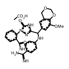 CC(=O)O.COc1cc(C(Nc2ccc(C(=N)N)cc2)c2nn(-c3ccccc3C(N)=O)c(=O)[nH]2)cc2c1OCOC2